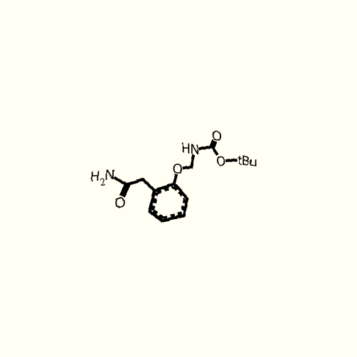 CC(C)(C)OC(=O)NCOc1ccccc1CC(N)=O